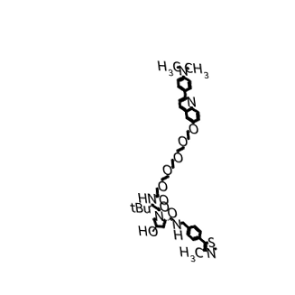 Cc1ncsc1-c1ccc(CNC(=O)[C@@H]2C[C@@H](O)CN2C(=O)[C@@H](NC(=O)COCCOCCOCCOCCOc2ccc3nc(-c4ccc(N(C)C)cc4)ccc3c2)C(C)(C)C)cc1